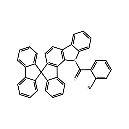 O=C(c1ccccc1Br)n1c2ccccc2c2ccc3c(c21)-c1ccccc1C31c2ccccc2-c2ccccc21